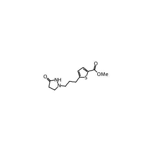 COC(=O)c1ccc(CCCN2CCC(=O)N2)s1